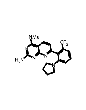 CNc1nc(N)nc2nc(-c3c(N4CCCC4)cccc3C(F)(F)F)ccc12